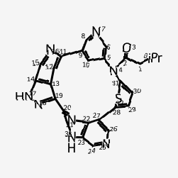 CC(C)CC(=O)n1c2cncc(c2)c2cc3c(cn2)[nH]nc3c2nc3c(cncc3c3ccc1s3)[nH]2